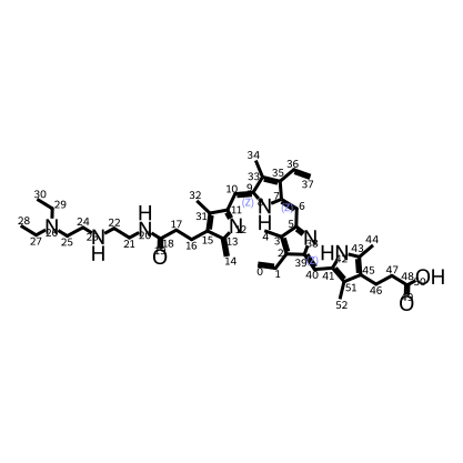 C=CC1=C(C)C(/C=c2\[nH]/c(=C\C3=NC(=C)C(CCC(=O)NCCNCCN(CC)CC)=C3C)c(C)c2C=C)=NC/1=C\c1[nH]c(C)c(CCC(=O)O)c1C